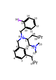 CC(C)Cc1cccc(CN(Cc2ccccc2I)[C@@H](CC(C)C)CN(C)C)c1